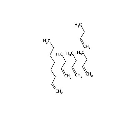 C=CCC.C=CCC.C=CCC.C=CCC.C=CCCCCCC